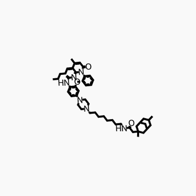 C=C(/N=C1\C(=C/CCCC)C(C)=CC(=O)N1c1ccccc1)Nc1ccc(N2CCN(CCCCCCCCNC(=O)CC3(C)CC4CC(C)CC(C4)C3)CC2)cc1OC